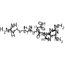 N=C(N)NCCCC[C@H](N)CN(CC(=O)O)C(=O)Cn1cnc2c(N)nc(N)nc21